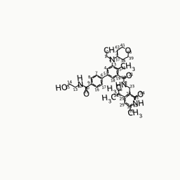 CCN(c1cc(-c2ccc(C(=O)NCCO)cc2)cc(C(=O)NCc2c(C(C)C)cc(C)[nH]c2=O)c1C)C1CCOCC1